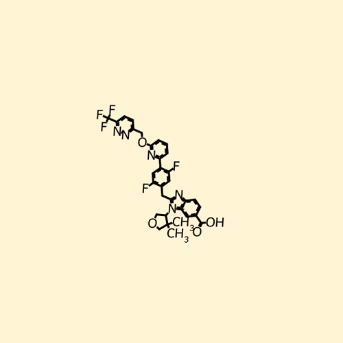 CC1(C)COCC1n1c(Cc2cc(F)c(-c3cccc(OCc4ccc(C(F)(F)F)nn4)n3)cc2F)nc2ccc(C(=O)O)cc21